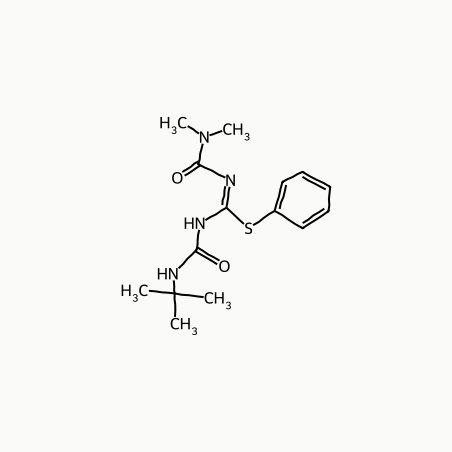 CN(C)C(=O)N=C(NC(=O)NC(C)(C)C)Sc1ccccc1